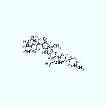 COc1cc(N2CCC(N3CCCN(C)CC3)CC2)c(C(C)O)cc1Nc1ncc(Br)c(Nc2ccc3nccnc3c2P(C)(C)=O)n1